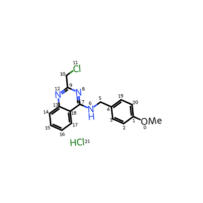 COc1ccc(CNc2nc(CCl)nc3ccccc23)cc1.Cl